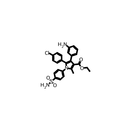 CCOC(=O)c1c(-c2cccc(N)c2)c(-c2ccc(Cl)cc2)n(-c2ccc(S(N)(=O)=O)cc2)c1C